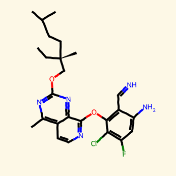 CC[C@](C)(CCC(C)C)COc1nc(C)c2ccnc(Oc3c(Cl)c(F)cc(N)c3C=N)c2n1